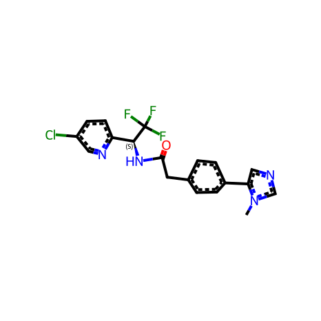 Cn1cncc1-c1ccc(CC(=O)N[C@@H](c2ccc(Cl)cn2)C(F)(F)F)cc1